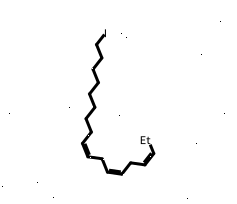 CC/C=C\C/C=C\C/C=C\CCCCCCCCI